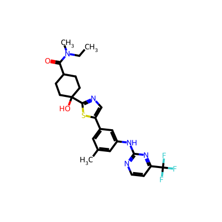 CCN(C)C(=O)C1CCC(O)(c2ncc(-c3cc(C)cc(Nc4nccc(C(F)(F)F)n4)c3)s2)CC1